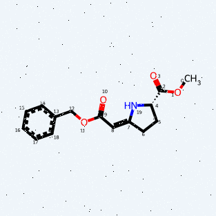 COC(=O)[C@@H]1CC/C(=C/C(=O)OCc2ccccc2)N1